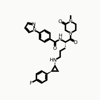 CN1CCN(C(=O)[C@H](CCCN[C@@H]2C[C@H]2c2ccc(F)cc2)NC(=O)c2ccc(-n3cccn3)cc2)CC1=O